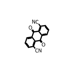 N#Cc1cccc2c1C(=O)c1cccc(C#N)c1C2=O